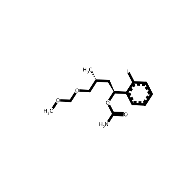 COCOC[C@H](C)C[C@H](OC(N)=O)c1ccccc1I